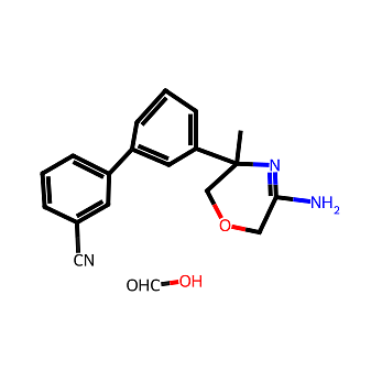 CC1(c2cccc(-c3cccc(C#N)c3)c2)COCC(N)=N1.O=CO